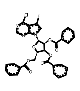 O=C(OC[C@H]1O[C@@H](n2cc(F)c3c(Cl)ncnc32)[C@@H](OC(=O)c2ccccc2)C1OC(=O)c1ccccc1)c1ccccc1